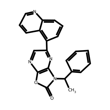 CC(c1ccccc1)n1c(=O)oc2ncc(-c3cccc4ncccc34)nc21